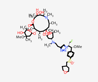 CC[C@H]1OC(=O)[C@H](C)[C@@H](O[C@H]2C[C@@](C)(OC)[C@@H](O)[C@H](C)O2)[C@H](C)[C@@H](O[C@H]2C[C@@H](N(C)CCc3cn([C@H](CF)[C@H](OC)c4ccc([S+]([O-])CC5CCOCC5)cc4)nn3)C[C@@H](C)O2)[C@](C)(O)C[C@@H](C)CN(C)[C@H](C)[C@@H](O)[C@]1(C)O